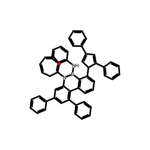 C1=CC=C(N2B(Nc3ccccc3)c3c(cccc3C3C=C(c4ccccc4)C=C3c3ccccc3)-c3c(-c4ccccc4)cc(-c4ccccc4)cc32)CC=C1